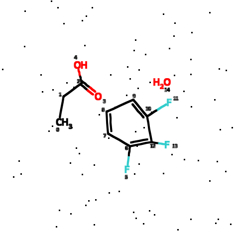 CCC(=O)O.Fc1cccc(F)c1F.O